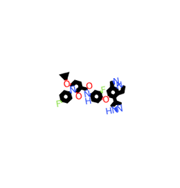 O=C(Nc1ccc(Oc2cc3cnn4ccc(c2-c2cn[nH]c2)c34)c(F)c1)c1ccc(OC2CC2)n(-c2ccc(F)cc2)c1=O